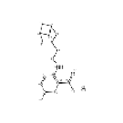 Cc1ccc(NCCC2CC3CC(C2)C3)c(C(=O)CCl)c1